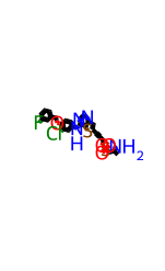 CC(N)CS(=O)(=O)OCC#Cc1cc2ncnc(Nc3ccc(OCc4cccc(F)c4)c(Cl)c3)c2s1